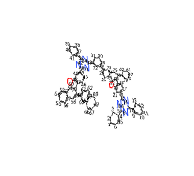 C1=CCCC(c2nc(-c3ccccc3)nc(-c3ccc4c(c3)oc3c5ccc(-c6cccc(-c7nc(-c8ccccc8)nc(-c8ccc9c(c8)OC8c%10ccccc%10C=C(c%10ccc%11c(c%10)C=CCC%11)C98)n7)c6)cc5cc(C5=CC=CCC5)c43)n2)=C1